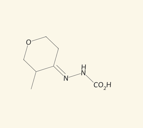 CC1COCCC1=NNC(=O)O